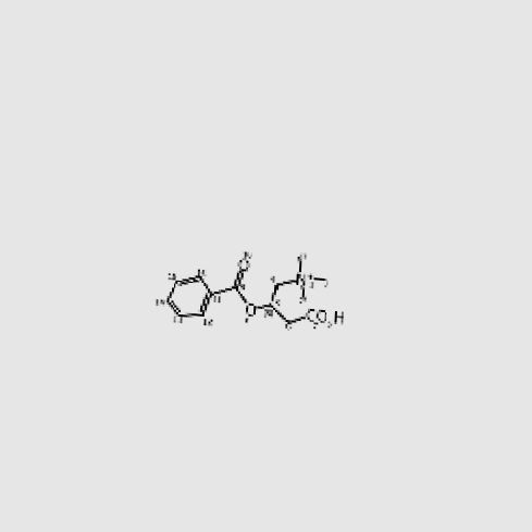 C[N+](C)(C)C[C@@H](CC(=O)O)OC(=O)c1ccccc1